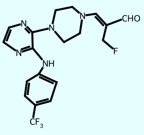 O=CC(=CN1CCN(c2nccnc2Nc2ccc(C(F)(F)F)cc2)CC1)CF